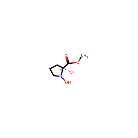 COC(=O)[C@]1(O)CCCN1O